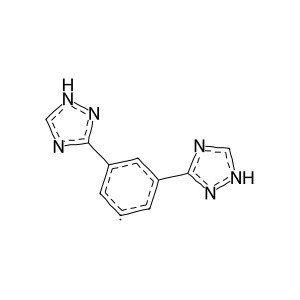 [c]1cc(-c2nc[nH]n2)cc(-c2nc[nH]n2)c1